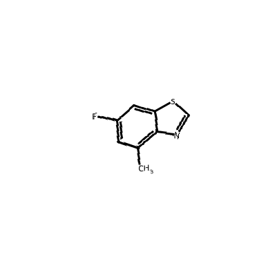 Cc1cc(F)cc2scnc12